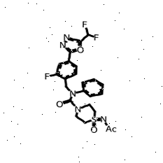 CC(=O)N=S1(=O)CCN(C(=O)N(Cc2ccc(-c3nnc(C(F)F)o3)cc2F)c2ccccc2)CC1